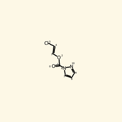 O=C(OC=CCl)n1cccn1